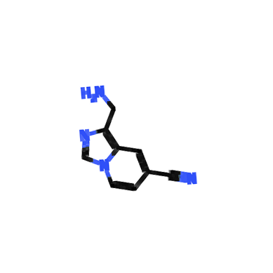 N#Cc1ccn2cnc(CN)c2c1